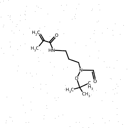 C=C(C)C(=O)NCCCN(C=O)OC(C)(C)C